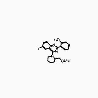 COCC1CCCCN1c1nc(-c2ccccc2O)nc2ccc(F)cc12